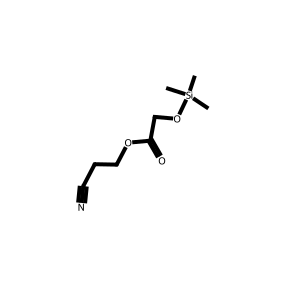 C[Si](C)(C)OCC(=O)OCCC#N